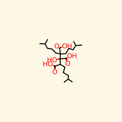 CC(C)CCCC(C(=O)O)C(O)(C(=O)O)C(CCCC(C)C)(CCCC(C)C)C(=O)O